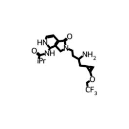 CC(C)C(=O)NC1NC=CC2=C1CN(CCC(N)CC1C=C1OCC(F)(F)F)C2=O